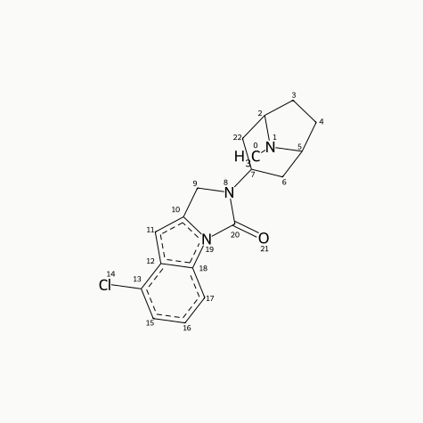 CN1C2CCC1CC(N1Cc3cc4c(Cl)cccc4n3C1=O)C2